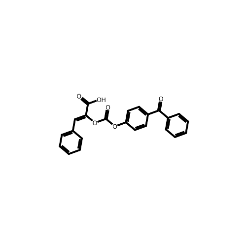 O=C(OC(=Cc1ccccc1)C(=O)O)Oc1ccc(C(=O)c2ccccc2)cc1